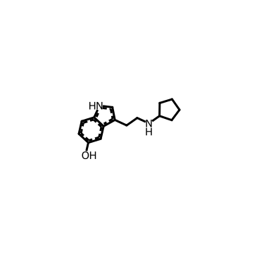 Oc1ccc2[nH]cc(CCNC3CCCC3)c2c1